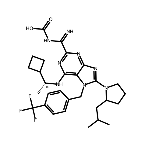 CC(C)CC1CCCN1c1nc2nc(C(=N)NC(=O)O)nc(N[C@H](C)C3CCC3)c2n1Cc1ccc(C(F)(F)F)cc1